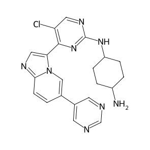 NC1CCC(Nc2ncc(Cl)c(-c3cnc4ccc(-c5cncnc5)cn34)n2)CC1